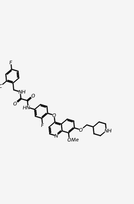 COc1c(OCC2CCNCC2)ccc2c(Oc3ccc(NC(=O)C(=O)NCc4ccc(F)cc4C(F)(F)F)cc3F)ccnc12